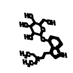 CCN(CC)CCc1c[nH]c2cccc(OC3OC(CO)C(O)C(O)C3O)c12